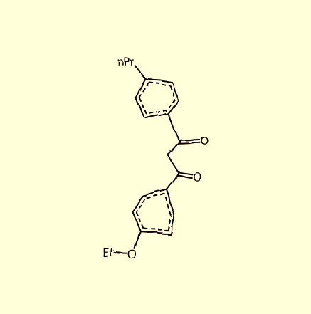 CCCc1ccc(C(=O)CC(=O)c2ccc(OCC)cc2)cc1